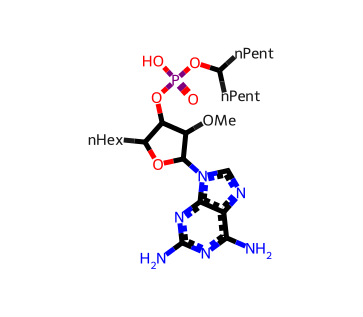 CCCCCCC1OC(n2cnc3c(N)nc(N)nc32)C(OC)C1OP(=O)(O)OC(CCCCC)CCCCC